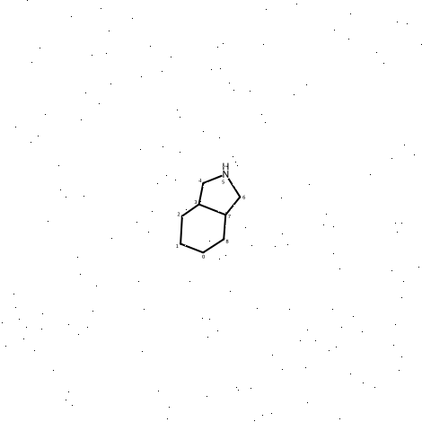 C1CCC2CNC[C]2C1